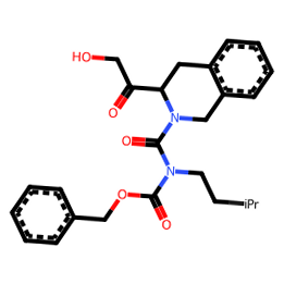 CC(C)CCN(C(=O)OCc1ccccc1)C(=O)N1Cc2ccccc2CC1C(=O)CO